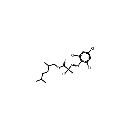 CC(C)CCC(C)COC(=O)C(C)(Cl)N=Nc1c(Cl)cc(Cl)cc1Cl